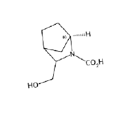 O=C(O)N1C(CO)C2CC[C@@H]1C2